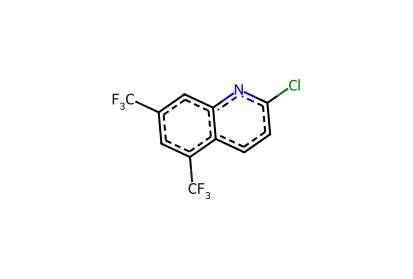 FC(F)(F)c1cc(C(F)(F)F)c2ccc(Cl)nc2c1